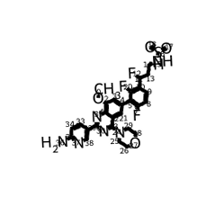 COc1cc(-c2c(F)ccc(C(F)CCN[SH](=O)=O)c2F)cc2c(N3CCOCC3)nc(-c3ccc(N)nc3)nc12